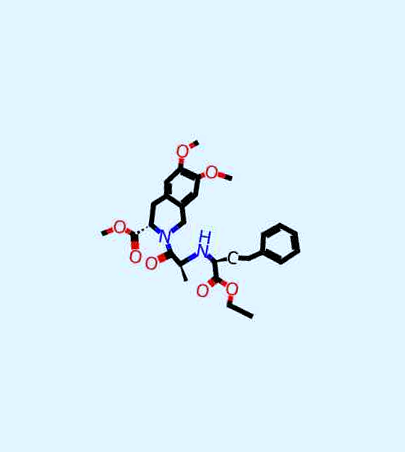 CCOC(=O)[C@H](CCc1ccccc1)N[C@@H](C)C(=O)N1Cc2cc(OC)c(OC)cc2C[C@H]1C(=O)OC